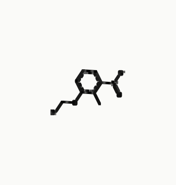 Cc1c(OCBr)cccc1[N+](=O)[O-]